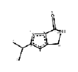 CC(C)c1cc2c(s1)C(=O)NC2